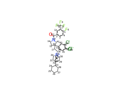 O=C(c1ccc(F)c(C(F)(F)F)c1)N1CCC(CC[N+]23CCC(C4CCCCC4)(CC2)CC3)(c2ccc(Cl)c(Cl)c2)C1.[Cl-]